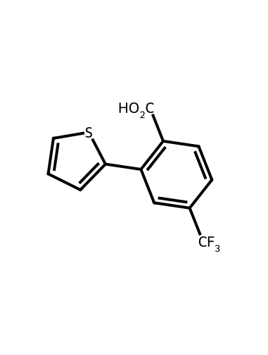 O=C(O)c1ccc(C(F)(F)F)cc1-c1cccs1